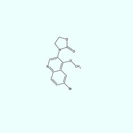 COc1c(N2CCOC2=O)cnc2ccc(Br)cc12